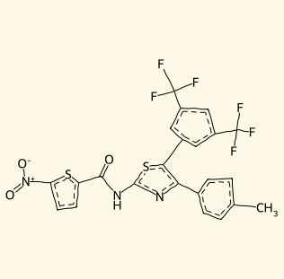 Cc1ccc(-c2nc(NC(=O)c3ccc([N+](=O)[O-])s3)sc2-c2cc(C(F)(F)F)cc(C(F)(F)F)c2)cc1